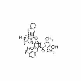 Cc1cc(O)c(C)c(C(=O)NC(Cc2cccc(F)c2)[C@H](O)C(=O)N2CC(F)(F)C(C)(C)[C@H]2C(=O)NCc2ccccc2F)c1